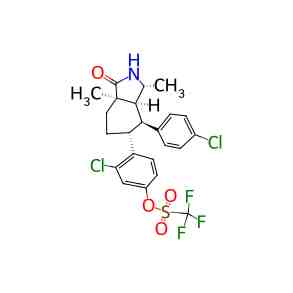 C[C@H]1NC(=O)[C@]2(C)CC[C@@H](c3ccc(OS(=O)(=O)C(F)(F)F)cc3Cl)[C@H](c3ccc(Cl)cc3)[C@H]12